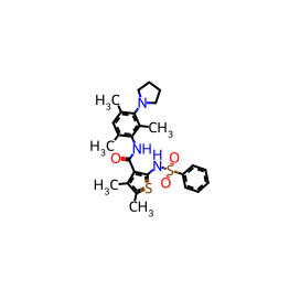 Cc1cc(C)c(N2CCCC2)c(C)c1NC(=O)c1c(NS(=O)(=O)c2ccccc2)sc(C)c1C